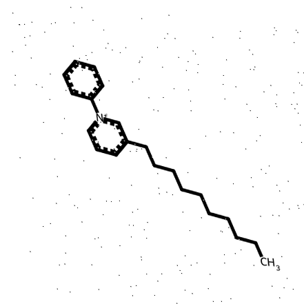 CCCCCCCCCCc1ccc[n+](-c2ccccc2)c1